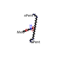 CCCCC/C=C\C/C=C\CCCCCCCCC(CCCCCCCC/C=C\C/C=C\CCCCC)OC(=O)NCCCOCCOC